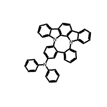 c1ccc(N(c2ccccc2)c2ccc3c(c2)c2ccccc2n2c4ccccc4c4ccc5c6ccccc6n3c5c42)cc1